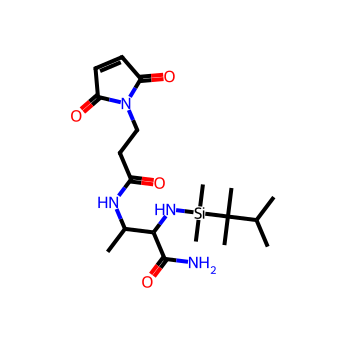 CC(NC(=O)CCN1C(=O)C=CC1=O)C(N[Si](C)(C)C(C)(C)C(C)C)C(N)=O